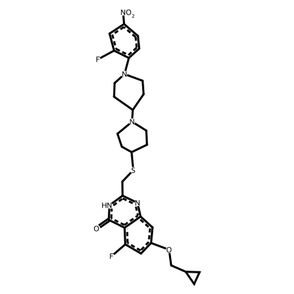 O=c1[nH]c(CSC2CCN(C3CCN(c4ccc([N+](=O)[O-])cc4F)CC3)CC2)nc2cc(OCC3CC3)cc(F)c12